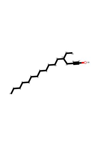 CCCCCCCCCCCCC(CC)CC#C[O]